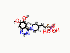 COc1cc2ncnc(N3CCC(CCSP(=O)(O)O)CC3)c2cc1OC